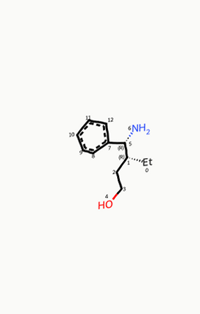 CC[C@H](CCO)[C@@H](N)c1ccccc1